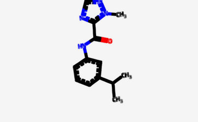 CC(C)c1cccc(NC(=O)c2ncnn2C)c1